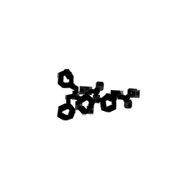 O=C(O)Nc1cccc(-n2c(=O)[nH]c3c(N(Cc4ccccc4)Cc4ccccc4)ncnc32)c1